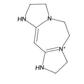 C1=C2NCCN2CC[N+]2=C1NCC2